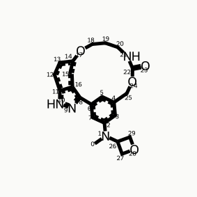 CN(c1cc2cc(c1)-c1n[nH]c3ccc(cc13)OCCCNC(=O)OC2)C1COC1